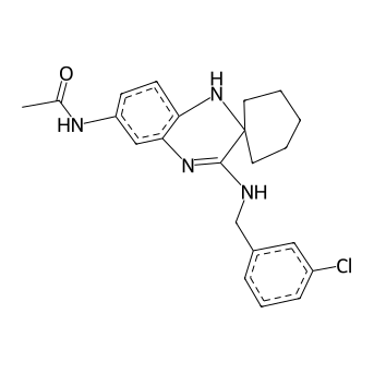 CC(=O)Nc1ccc2c(c1)N=C(NCc1cccc(Cl)c1)C1(CCCCC1)N2